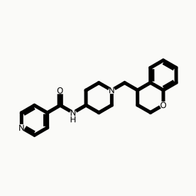 O=C(NC1CCN(CC2CCOc3ccccc32)CC1)c1ccncc1